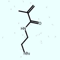 [CH2]CCCCCNC(=O)C(=C)C